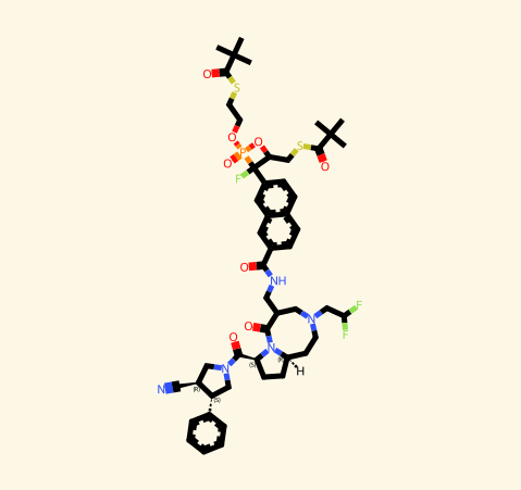 CC(C)(C)C(=O)SCCOP1(=O)OC(CSC(=O)C(C)(C)C)C1(F)c1ccc2ccc(C(=O)NCC3CN(CC(F)F)CC[C@H]4CC[C@@H](C(=O)N5C[C@H](c6ccccc6)[C@@H](C#N)C5)N4C3=O)cc2c1